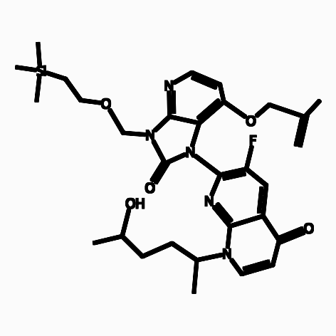 C=C(C)COc1ccnc2c1n(-c1nc3c(cc1F)c(=O)ccn3C(C)CCC(C)O)c(=O)n2COCC[Si](C)(C)C